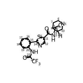 O=C(N[C@H]1CN2CCC1CC2)c1cnc(-c2ccccc2NC(=O)C(F)(F)F)s1